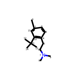 Cc1ccc(CCN(C)C)c(C(C)(C)C)c1